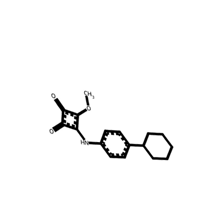 COc1c(Nc2ccc(C3CCCCC3)cc2)c(=O)c1=O